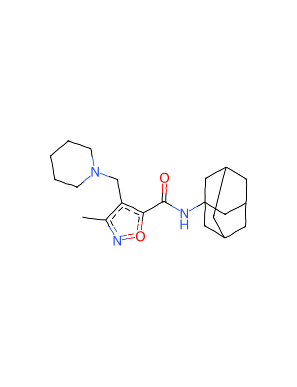 Cc1noc(C(=O)NC23CC4CC(CC(C4)C2)C3)c1CN1CCCCC1